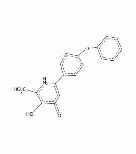 O=C(O)c1[nH]c(-c2ccc(Oc3ccccc3)cc2)cc(=O)c1O